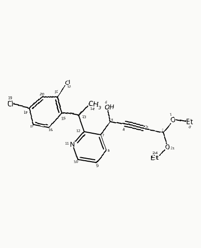 CCOC(C#CC(O)c1cccnc1C(C)c1ccc(Cl)cc1Cl)OCC